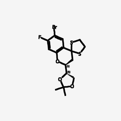 CC1(C)OC[C@@H]([C@@H]2CC3(SCCS3)c3cc(Br)c(F)cc3O2)O1